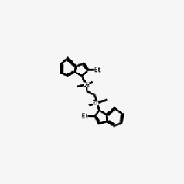 CCC1=Cc2ccccc2[CH]1[Zr]([CH3])([CH3])[CH2][CH2][Zr]([CH3])([CH3])[CH]1C(CC)=Cc2ccccc21